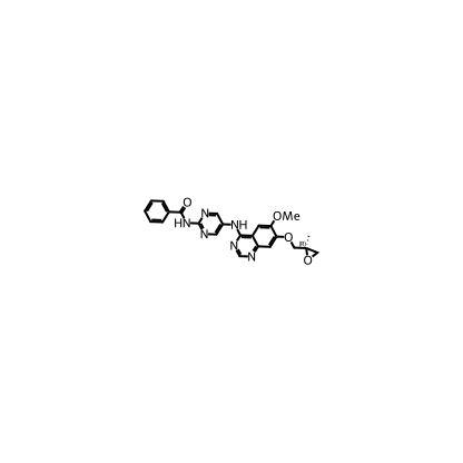 COc1cc2c(Nc3cnc(NC(=O)c4ccccc4)nc3)ncnc2cc1OC[C@@]1(C)CO1